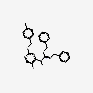 Cc1ccc(COc2ncc(F)c(N(N)/C(=N/Cc3ccccc3)SCc3ccccc3)n2)cc1